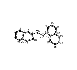 c1ccc2cc(SSc3cccc4ccccc34)ccc2c1